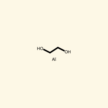 OCCO.[Al]